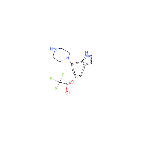 O=C(O)C(F)(F)F.c1cc(N2CCNCC2)c2[nH]ccc2c1